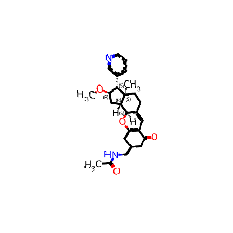 CO[C@@H]1C[C@H]2[C@@H]3OC4=C(C=C3CC[C@]2(C)[C@H]1c1cccnc1)C(=O)CC(CNC(C)=O)C4